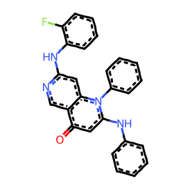 O=c1cc(Nc2ccccc2)n(-c2ccccc2)c2cc(Nc3ccccc3F)ncc12